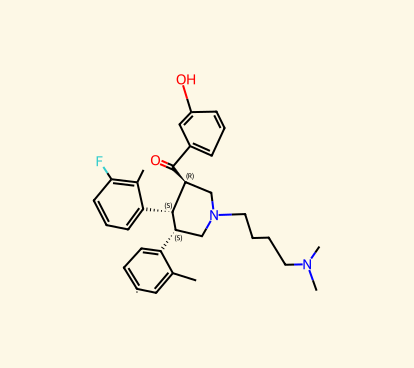 Cc1c[c]ccc1[C@H]1CN(CCCCN(C)C)C[C@H](C(=O)c2cccc(O)c2)[C@H]1c1cccc(F)c1C